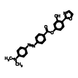 CN(C)c1ccc(/N=N/c2ccc(C(=O)Oc3ccc(-c4ncco4)c(O)c3)cc2)cc1